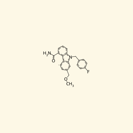 COCc1c[c]c2c3c(C(N)=O)cccc3n(Cc3ccc(F)cc3)c2c1